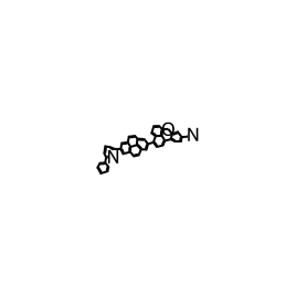 N#Cc1ccc2c(c1)Oc1cccc3c(-c4cc5ccc6cc(-c7cccc(-c8ccccc8)n7)cc7ccc(c4)c5c67)ccc-2c13